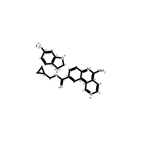 Nc1nc2ccc(C(=O)N(CC3CC3)[C@H]3COc4cc(C(F)(F)F)ccc43)cc2c2cnccc12